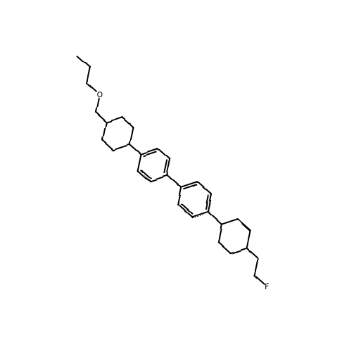 CCCOCC1CCC(c2ccc(-c3ccc(C4CCC(CCF)CC4)cc3)cc2)CC1